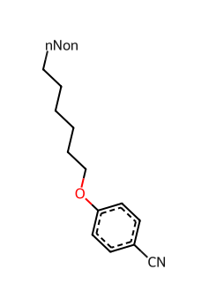 CCCCCCCCCCCCCCCOc1ccc(C#N)cc1